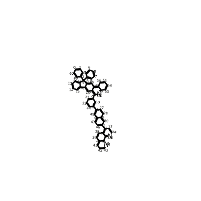 c1ccc(C2(c3ccccc3)c3ccccc3-c3cc4c(-c5cccc(-c6ccc7cc(-c8ccnc9c8ccc8cccnc89)ccc7c6)c5)nc5ccccc5c4cc32)cc1